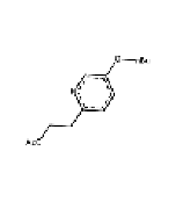 CCCCOc1ccc(CCOC(C)=O)nc1